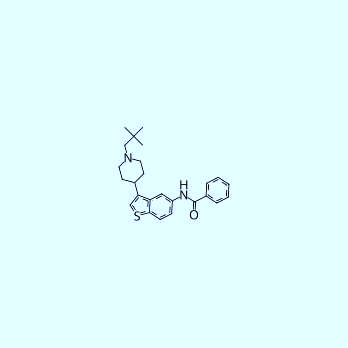 CC(C)(C)CN1CCC(c2csc3ccc(NC(=O)c4ccccc4)cc23)CC1